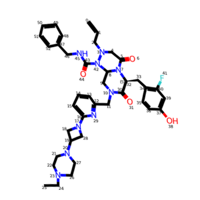 C=CCN1CC(=O)N2C(CN(Cc3cccc(N4CC(N5CCN(CC)CC5)C4)n3)C(=O)[C@@H]2Cc2ccc(O)cc2F)N1C(=O)NCc1ccccc1